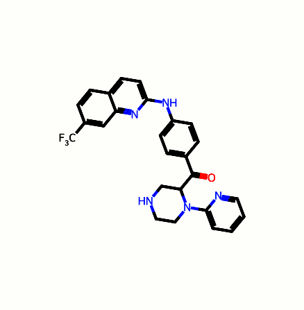 O=C(c1ccc(Nc2ccc3ccc(C(F)(F)F)cc3n2)cc1)C1CNCCN1c1ccccn1